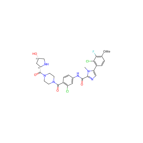 COc1ccc(-c2cnc(C(=O)Nc3ccc(C(=O)N4CCN(C(=O)[C@@H]5C[C@H](O)CN5)CC4)c(Cl)c3)n2C)c(Cl)c1F